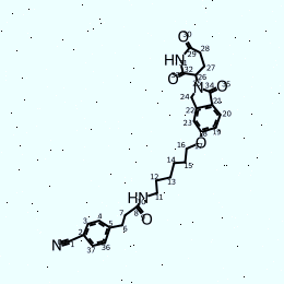 N#Cc1ccc(CCC(=O)NCCCCCCOc2ccc3c(c2)CN(C2CCC(=O)NC2=O)C3=O)cc1